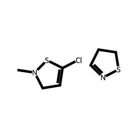 C1=NSCC1.CN1CC=C(Cl)S1